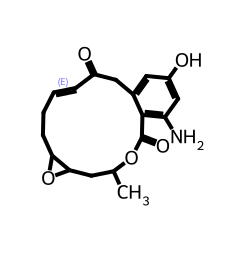 CC1CC2OC2CC/C=C/C(=O)Cc2cc(O)cc(N)c2C(=O)O1